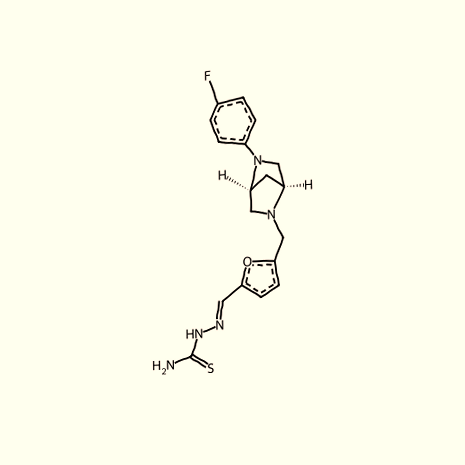 NC(=S)N/N=C/c1ccc(CN2C[C@@H]3C[C@H]2CN3c2ccc(F)cc2)o1